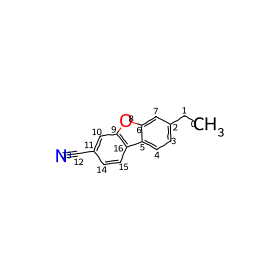 CCc1ccc2c(c1)oc1cc(C#N)ccc12